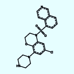 O=S(=O)(c1cccc2cnccc12)N1CCOc2c(N3CCNCC3)cc(Cl)cc21